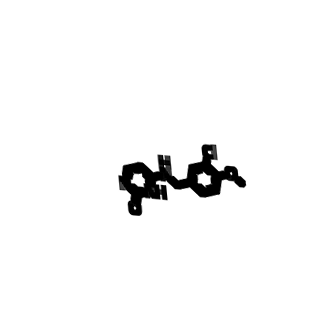 COc1ccc(CNc2ccnc(=O)[nH]2)cc1Cl